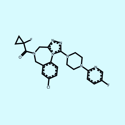 O=C(N1Cc2cc(Cl)ccc2-n2c(nnc2N2CCN(c3ccc(F)cn3)CC2)C1)C1(F)CC1